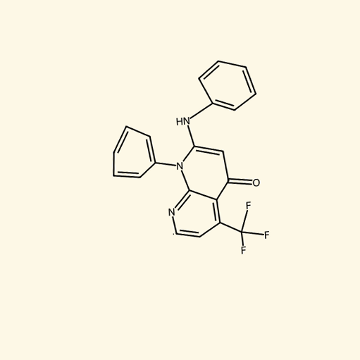 O=c1cc(Nc2ccccc2)n(-c2ccccc2)c2n[c]cc(C(F)(F)F)c12